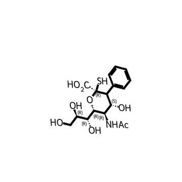 CC(=O)N[C@H]1[C@H]([C@H](O)[C@H](O)CO)O[C@](S)(C(=O)O)C(c2ccccc2)[C@@H]1O